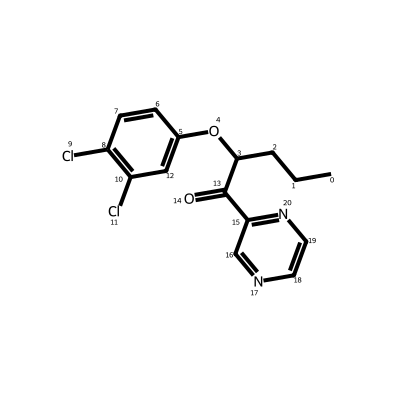 CCCC(Oc1ccc(Cl)c(Cl)c1)C(=O)c1cnccn1